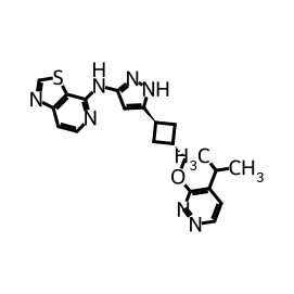 CC(C)c1ccnnc1OC[C@H]1C[C@H](c2cc(Nc3nccc4ncsc34)n[nH]2)C1